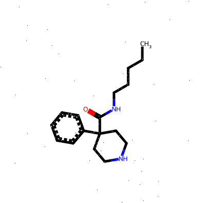 CCCCCNC(=O)C1(c2ccccc2)CCNCC1